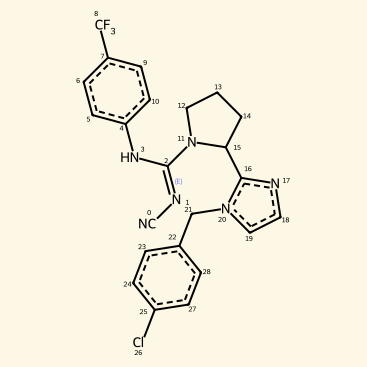 N#C/N=C(\Nc1ccc(C(F)(F)F)cc1)N1CCCC1c1nccn1Cc1ccc(Cl)cc1